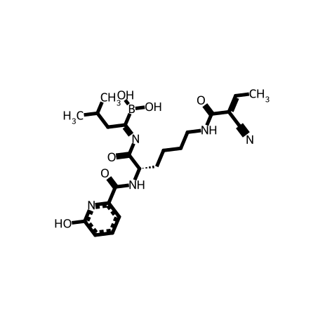 C/C=C(\C#N)C(=O)NCCCC[C@H](NC(=O)c1cccc(O)n1)C(=O)/N=C(\CC(C)C)B(O)O